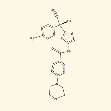 C#C[C@@](C)(c1ccc(C)cc1)c1csc(NC(=O)c2ccc(N3CCNCC3)cc2)n1